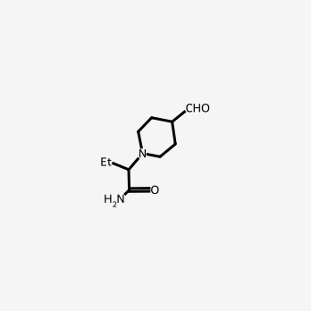 CCC(C(N)=O)N1CCC(C=O)CC1